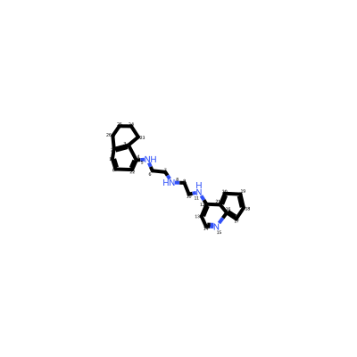 c1cc2c(c(NCCNCCNc3ccnc4ccccc34)c1)CCCC2